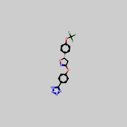 FC(F)(F)Oc1ccc([C@@H]2CC(Oc3ccc(-c4nnn[nH]4)cc3)=NO2)cc1